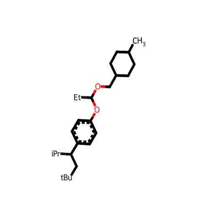 CCC(OCC1CCC(C)CC1)Oc1ccc(C(CC(C)(C)C)C(C)C)cc1